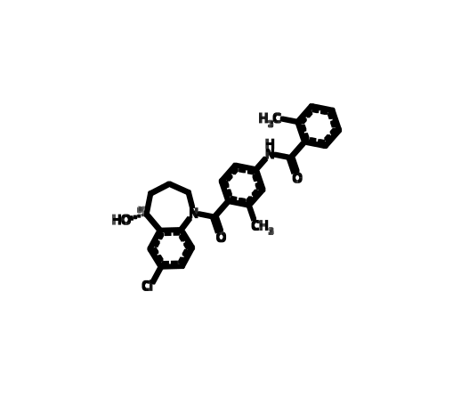 Cc1ccccc1C(=O)Nc1ccc(C(=O)N2CCC[C@@H](O)c3cc(Cl)ccc32)c(C)c1